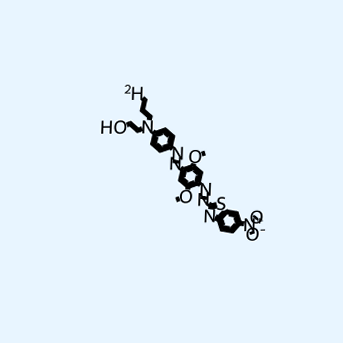 [2H]CCCN(CCO)c1ccc(N=Nc2cc(OC)c(N=Nc3nc4ccc([N+](=O)[O-])cc4s3)cc2OC)cc1